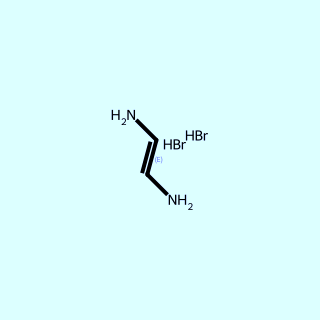 Br.Br.N/C=C/N